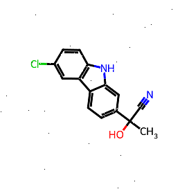 CC(O)(C#N)c1ccc2c(c1)[nH]c1ccc(Cl)cc12